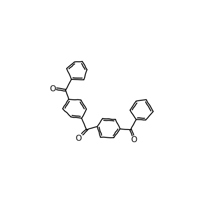 O=C(c1ccccc1)c1ccc(C(=O)c2ccc(C(=O)c3ccccc3)cc2)cc1